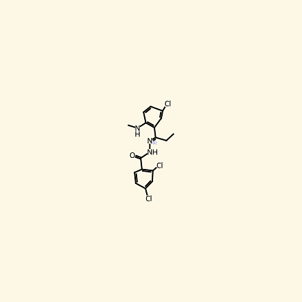 CC/C(=N\NC(=O)c1ccc(Cl)cc1Cl)c1cc(Cl)ccc1NC